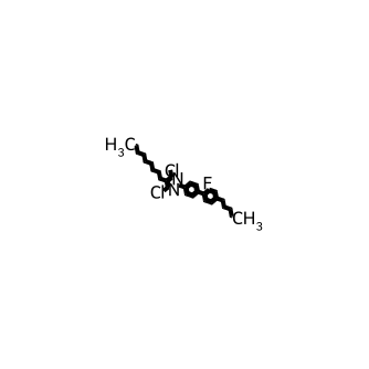 CCCCCCCCCc1c(Cl)nc(-c2ccc(-c3ccc(CCCCC)cc3F)cc2)nc1Cl